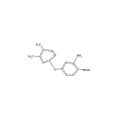 CC(=O)Nc1ccc(Sc2ccc(C)c(C)c2)cc1N